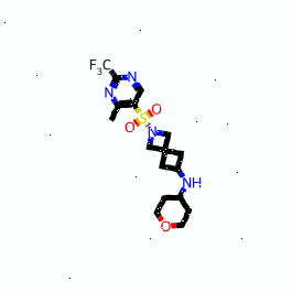 Cc1nc(C(F)(F)F)ncc1S(=O)(=O)N1CC2(CC(NC3CCOCC3)C2)C1